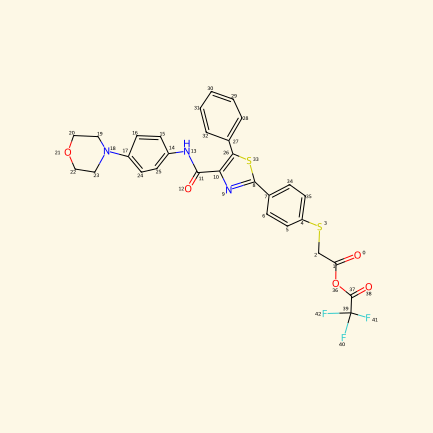 O=C(CSc1ccc(-c2nc(C(=O)Nc3ccc(N4CCOCC4)cc3)c(-c3ccccc3)s2)cc1)OC(=O)C(F)(F)F